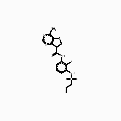 CCCS(=O)(=O)Nc1cccc(NC(=O)C2CSc3c(N)ncnc32)c1F